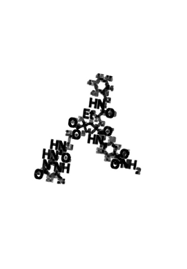 CCC(CC(C)(CC(C)(C)C(=O)OCCNC(=O)Nc1nc(=O)cc(C)[nH]1)C(=O)Nc1ccc(S(N)(=O)=O)cc1)C(=O)NCc1ccccc1